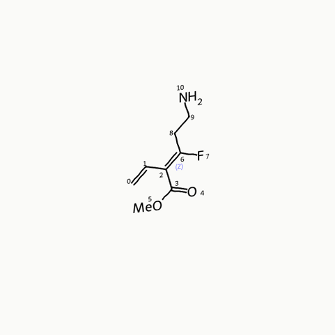 C=C/C(C(=O)OC)=C(/F)CCN